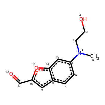 CN(CCO)c1ccc2cc(C=O)oc2c1